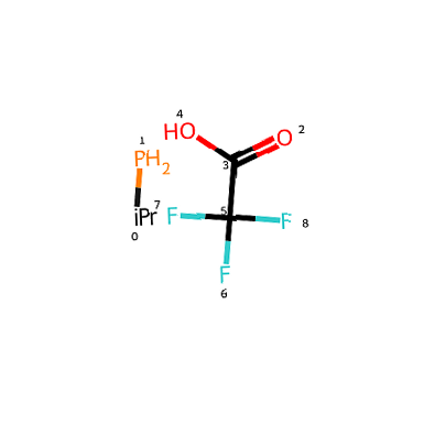 CC(C)P.O=C(O)C(F)(F)F